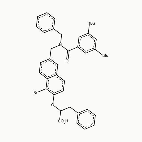 CC(C)(C)c1cc(C(=O)N(Cc2ccccc2)Cc2ccc3c(Br)c(OC(Cc4ccccc4)C(=O)O)ccc3c2)cc(C(C)(C)C)c1